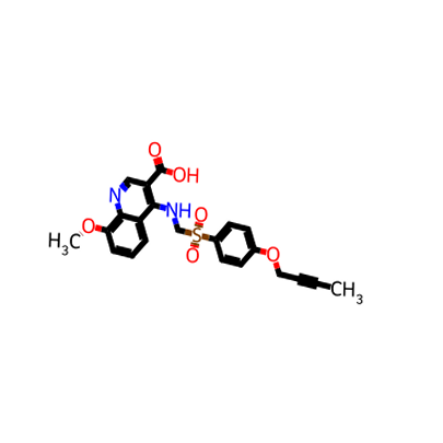 CC#CCOc1ccc(S(=O)(=O)CNc2c(C(=O)O)cnc3c(OC)cccc23)cc1